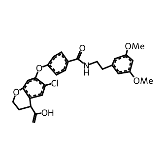 C=C(O)C1CCOc2cc(Oc3ccc(C(=O)NCCc4cc(OC)cc(OC)c4)cc3)c(Cl)cc21